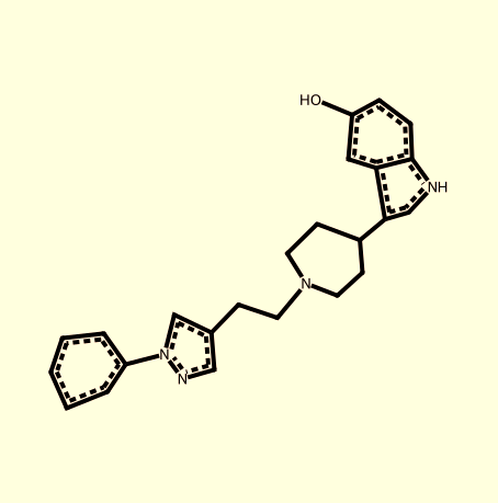 Oc1ccc2[nH]cc(C3CCN(CCc4cnn(-c5ccccc5)c4)CC3)c2c1